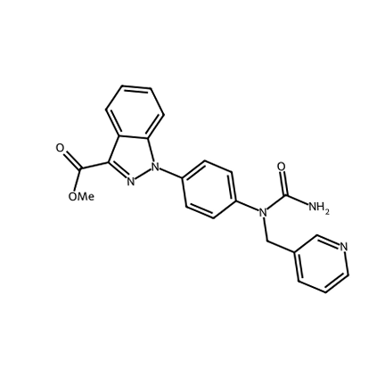 COC(=O)c1nn(-c2ccc(N(Cc3cccnc3)C(N)=O)cc2)c2ccccc12